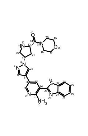 Nc1ncc(-c2cnn([C@@H]3CN[C@H](C(=O)N4CCOCC4)C3)c2)cc1-c1nc2ccccc2s1